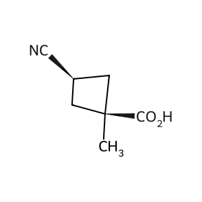 C[C@]1(C(=O)O)C[C@@H](C#N)C1